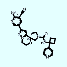 N#Cc1cc(-c2cc3n(n2)CCO[C@@]32CCN(C(=O)NC3(c4ccncc4)CCC3)C2)cnc1N